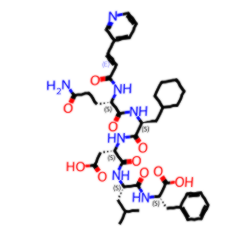 CC(C)C[C@H](NC(=O)[C@H](CC(=O)O)NC(=O)[C@H](CC1CCCCC1)NC(=O)[C@H](CCC(N)=O)NC(=O)/C=C/c1cccnc1)C(=O)N[C@@H](Cc1ccccc1)C(=O)O